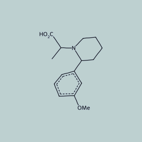 COc1cccc(C2CCCCN2C(C)C(=O)O)c1